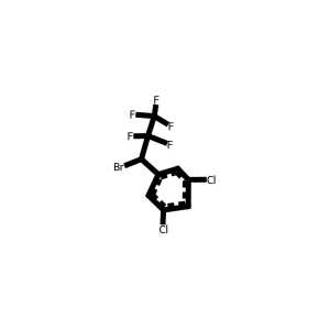 FC(F)(F)C(F)(F)C(Br)c1cc(Cl)cc(Cl)c1